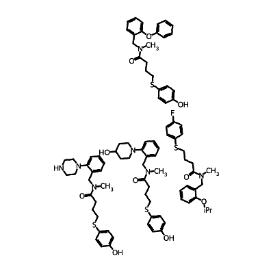 CC(C)Oc1ccccc1CN(C)C(=O)CCCSc1ccc(F)cc1.CN(Cc1ccccc1N1CCC(O)CC1)C(=O)CCCSc1ccc(O)cc1.CN(Cc1ccccc1N1CCNCC1)C(=O)CCCSc1ccc(O)cc1.CN(Cc1ccccc1Oc1ccccc1)C(=O)CCCSc1ccc(O)cc1